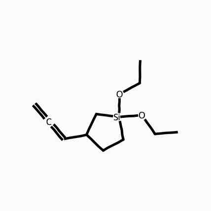 C=C=CC1CC[Si](OCC)(OCC)C1